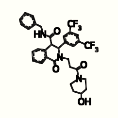 O=C(NCc1ccccc1)C1c2ccccc2C(=O)N(CCC(=O)N2CCC(O)CC2)C1c1cc(C(F)(F)F)cc(C(F)(F)F)c1